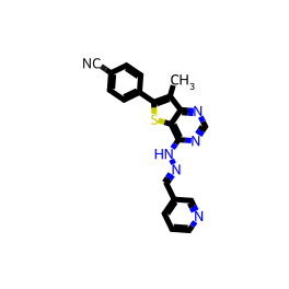 Cc1c(-c2ccc(C#N)cc2)sc2c(NN=Cc3cccnc3)ncnc12